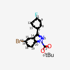 CC(C)(C)OC(=O)n1nc(-c2ccc(F)cc2)c2cc(Br)ccc21